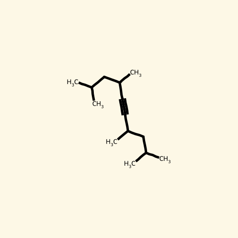 C[C](C#CC(C)CC(C)C)CC(C)C